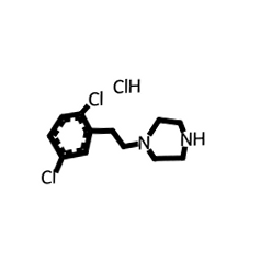 Cl.Clc1ccc(Cl)c(CCN2CCNCC2)c1